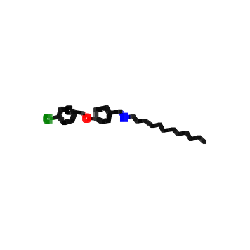 CCCCCCCCCCCCN=Cc1ccc(OCc2ccc(Cl)cc2)cc1